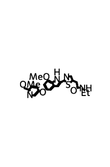 CCNC(=O)CC1CN=C(c2cc3cc(Oc4ccc(COC)nc4)cc(OC)c3[nH]2)S1